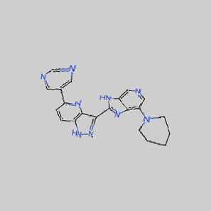 c1ncc(-c2ccc3[nH]nc(-c4nc5c(N6CCCCC6)cncc5[nH]4)c3n2)cn1